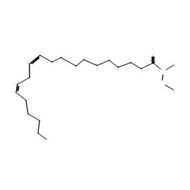 CCCCC/C=C\C/C=C\CCCCCCCCCC(=O)N(C)OC